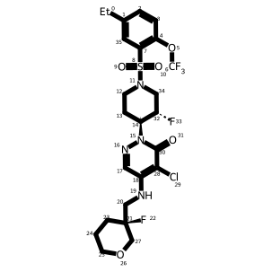 CCc1ccc(OC(F)(F)F)c(S(=O)(=O)N2CC[C@H](n3ncc(NC[C@@]4(F)CCCOC4)c(Cl)c3=O)[C@@H](F)C2)c1